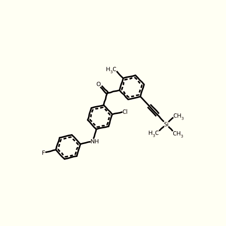 Cc1ccc(C#C[Si](C)(C)C)cc1C(=O)c1ccc(Nc2ccc(F)cc2)cc1Cl